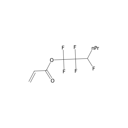 C=CC(=O)OC(F)(F)C(F)(F)C(F)CCC